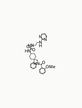 COc1ccccc1C(=O)NC[C@]1(c2ccccc2)CC[C@H](NS(=O)(=O)NCCNc2ncccn2)CC1